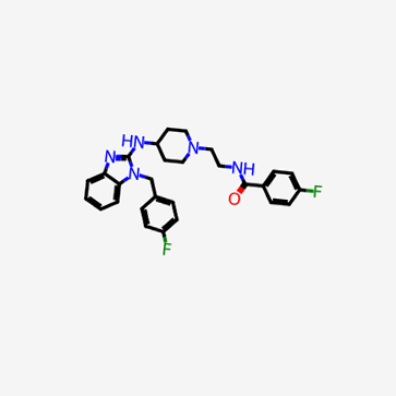 O=C(NCCN1CCC(Nc2nc3ccccc3n2Cc2ccc(F)cc2)CC1)c1ccc(F)cc1